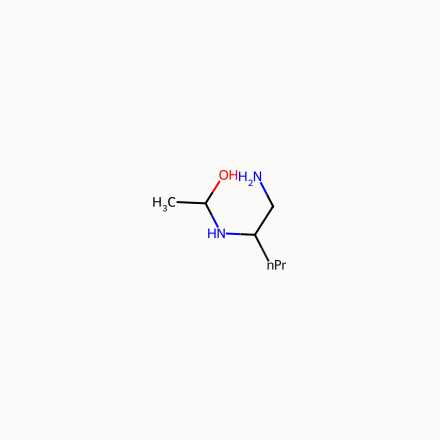 CCCC(CN)NC(C)O